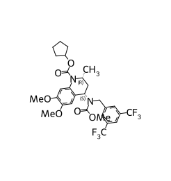 COC(=O)N(Cc1cc(C(F)(F)F)cc(C(F)(F)F)c1)[C@H]1C[C@@H](C)N(C(=O)OC2CCCC2)c2cc(OC)c(OC)cc21